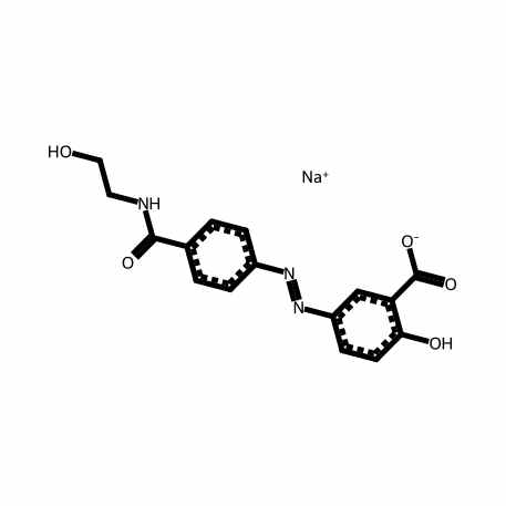 O=C(NCCO)c1ccc(N=Nc2ccc(O)c(C(=O)[O-])c2)cc1.[Na+]